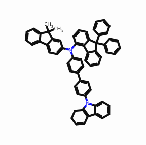 CC1(C)c2ccccc2-c2ccc(N(c3ccc(-c4ccc(-n5c6c(c7ccccc75)C=CCC6)cc4)cc3)c3cccc4c3-c3ccccc3C4(c3ccccc3)c3ccccc3)cc21